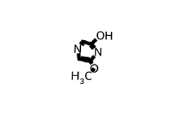 COc1cncc(O)n1